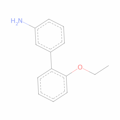 CCOc1ccccc1-c1cccc(N)c1